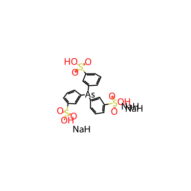 O=S(=O)(O)c1cccc([As](c2cccc(S(=O)(=O)O)c2)c2cccc(S(=O)(=O)O)c2)c1.[NaH].[NaH].[NaH]